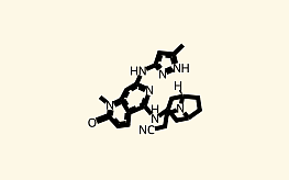 Cc1cc(Nc2cc3c(ccc(=O)n3C)c(NC3CC4CC[C@H](C3)N4CCC#N)n2)n[nH]1